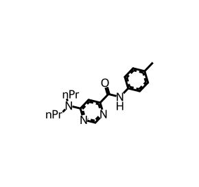 CCCN(CCC)c1cc(C(=O)Nc2ccc(C)cc2)ncn1